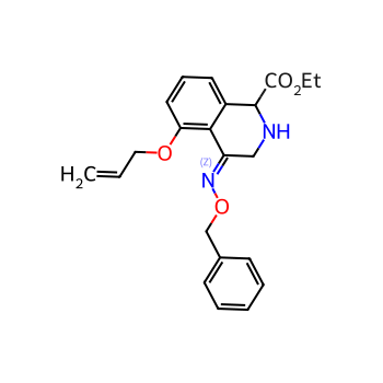 C=CCOc1cccc2c1/C(=N/OCc1ccccc1)CNC2C(=O)OCC